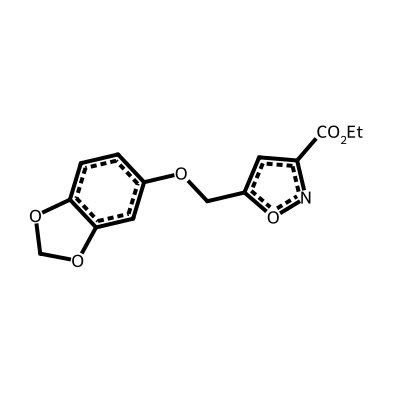 CCOC(=O)c1cc(COc2ccc3c(c2)OCO3)on1